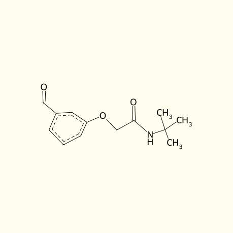 CC(C)(C)NC(=O)COc1cccc(C=O)c1